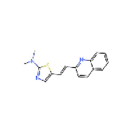 CN(C)c1ncc(/C=C/c2ccc3ccccc3n2)s1